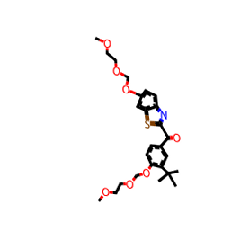 COCCOCOc1ccc2nc(C(=O)c3ccc(OCOCCOC)c(C(C)(C)C)c3)sc2c1